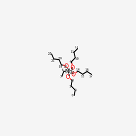 CCCC[O][Nb]([CH2]C)([O]CCCC)([O]CCCC)[O]CCCC